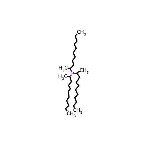 CCCCCCCCCC(C)P(C(C)CCCCCCCCC)C(C)CCCCCCCCC